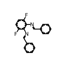 Fc1ccc(F)c(/N=C/c2ccccc2)c1/N=C/c1ccccc1